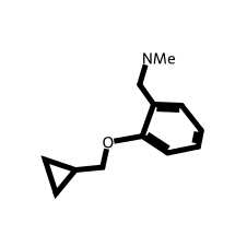 CNCc1ccccc1OCC1CC1